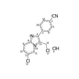 Cl.N#Cc1ccc(-c2nc3ccc(Cl)cn3c2CCl)cc1